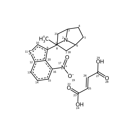 CCN1C2CCC1CC(c1csc3cccc([N+](=O)[O-])c13)C2.O=C(O)C=CC(=O)O